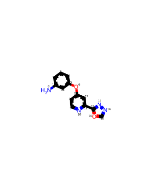 Nc1cccc(Oc2ccnc(-c3nnco3)c2)c1